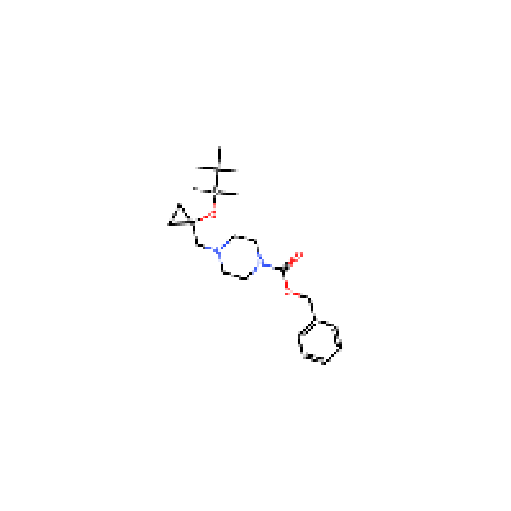 CC(C)(C)[Si](C)(C)OC1(CN2CCN(C(=O)OCc3ccccc3)CC2)CC1